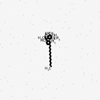 CCCCCCCCCCCCCCc1ccc(C(O)(c2c(C)c(OC)c(C)c(C)c2OC)C(C)C)cc1